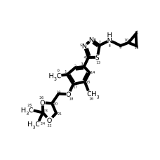 Cc1cc(-c2nnc(NCC3CC3)s2)cc(C)c1OCC1COC(C)(C)O1